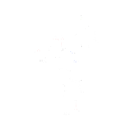 COc1ccc(C2=NN(c3cccc(F)c3)C(=O)C(C)(C(=O)O)C2)cc1